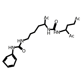 CC(=O)CCC(NC(=O)NC(CCCCNC(=O)Nc1ccccc1)C(C)=O)C(C)=O